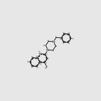 Fc1cc(N2CCN(Cc3ccccc3)CC2)nc2ccccc12